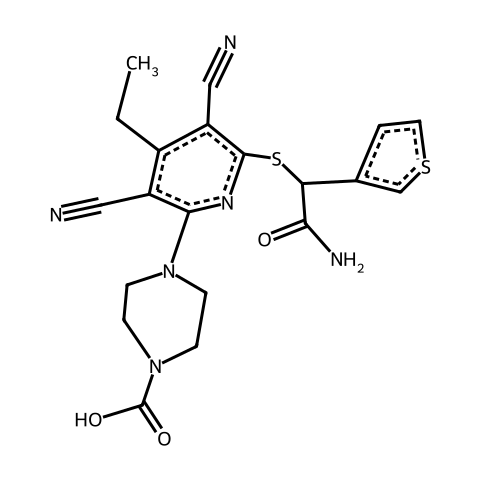 CCc1c(C#N)c(SC(C(N)=O)c2ccsc2)nc(N2CCN(C(=O)O)CC2)c1C#N